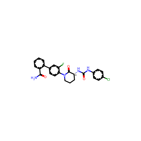 NC(=O)c1ccccc1-c1ccc(N2CCC[C@@H](NC(=O)Nc3ccc(Cl)cc3)C2=O)c(F)c1